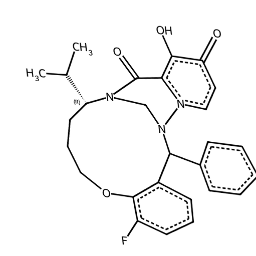 CC(C)[C@H]1CCCOc2c(F)cccc2C(c2ccccc2)N2CN1C(=O)c1c(O)c(=O)ccn12